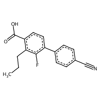 CCCc1c(C(=O)O)ccc(-c2ccc(C#N)cc2)c1F